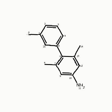 [CH2]c1cccc(-c2c(C)cc(N)cc2C)c1